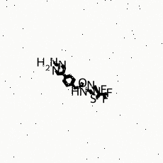 Nc1ncc(-c2ccc(CC(=O)Nc3ncn4c(C(F)(F)F)csc34)cc2)cn1